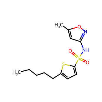 CCCCCc1ccc(S(=O)(=O)Nc2cc(C)on2)s1